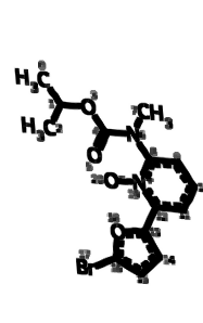 CC(C)OC(=O)N(C)c1cccc(-c2ccc(Br)o2)[n+]1[O-]